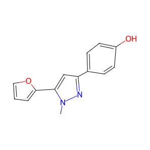 Cn1nc(-c2ccc(O)cc2)cc1-c1ccco1